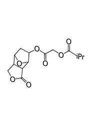 CC(C)C(=O)OCC(=O)OC1CC2OC1C1C(=O)OCC21